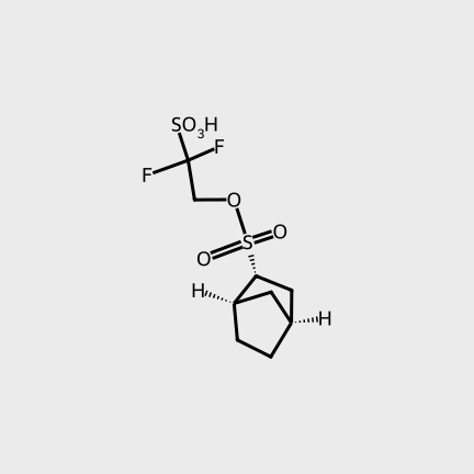 O=S(=O)(OCC(F)(F)S(=O)(=O)O)[C@@H]1C[C@H]2CC[C@@H]1C2